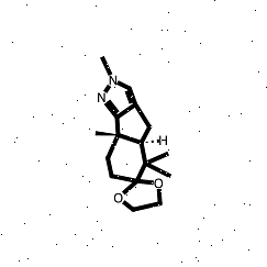 Cn1cc2c(n1)[C@@]1(C)CCC3(OCCO3)C(C)(C)[C@@H]1C2